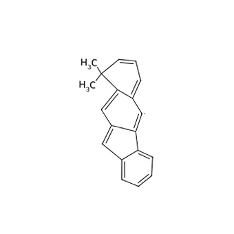 CC1(C)C=CC=c2[c]c3c(cc21)=Cc1ccccc1-3